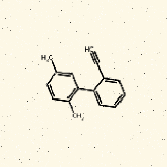 C#Cc1ccccc1-c1cc(C)ccc1C